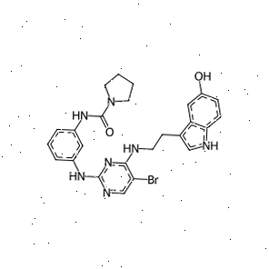 O=C(Nc1cccc(Nc2ncc(Br)c(NCCc3c[nH]c4ccc(O)cc34)n2)c1)N1CCCC1